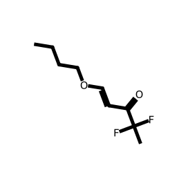 CCCCO/C=C/C(=O)C(C)(F)F